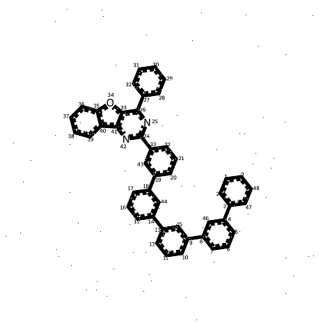 c1ccc(-c2cccc(-c3cccc(-c4cccc(-c5cccc(-c6nc(-c7ccccc7)c7oc8ccccc8c7n6)c5)c4)c3)c2)cc1